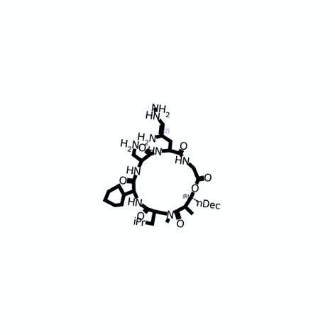 CCCCCCCCCC[C@H]1OC(=O)CNC(=O)C(C/C(N)=C/NN)NC(=O)C(CN)NC(=O)C(C2CCCCC2)NC(=O)C(CC(C)C)N(C)C(=O)C1C